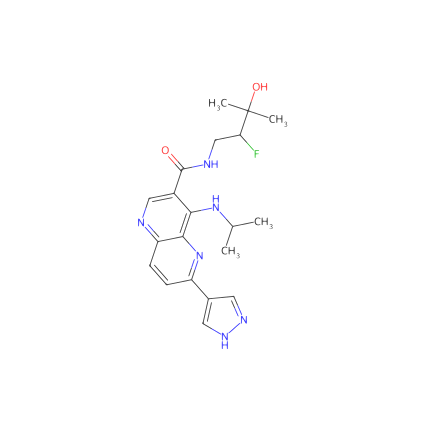 CC(C)Nc1c(C(=O)NCC(F)C(C)(C)O)cnc2ccc(-c3cn[nH]c3)nc12